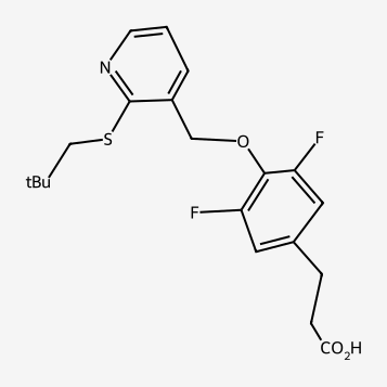 CC(C)(C)CSc1ncccc1COc1c(F)cc(CCC(=O)O)cc1F